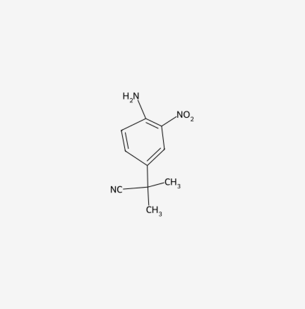 CC(C)(C#N)c1ccc(N)c([N+](=O)[O-])c1